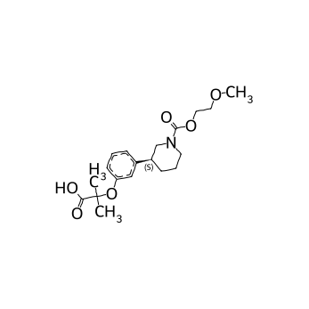 COCCOC(=O)N1CCC[C@@H](c2cccc(OC(C)(C)C(=O)O)c2)C1